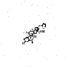 C[C@]12C=CC(=O)C=C1[C@@H](F)C[C@H]1[C@@H]3C[C@H]4CN(Cc5ccco5)C[C@@]4(C(=O)CO)[C@@]3(C)C[C@H](O)[C@@]12F